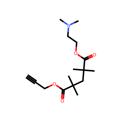 C#CCOC(=O)C(C)(C)CC(C)(C)C(=O)OCCN(C)C